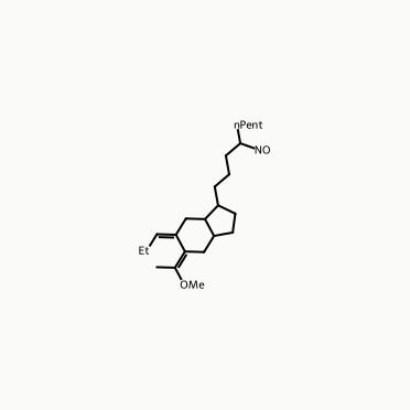 CC/C=C1/CC2C(CCCC(CCCCC)N=O)CCC2C/C1=C(/C)OC